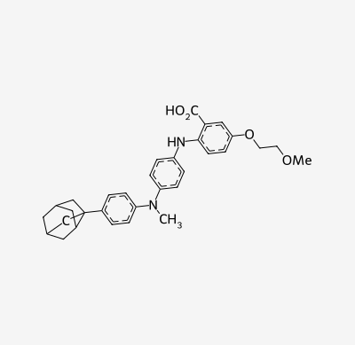 COCCOc1ccc(Nc2ccc(N(C)c3ccc(C45CC6CC(CC4C6)C5)cc3)cc2)c(C(=O)O)c1